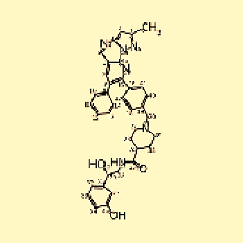 Cc1cc2ncc3cc(-c4ccccc4)c(-c4ccc(CN5CCC(C(=O)NC[C@H](O)c6cccc(O)c6)CC5)cc4)nc3n2n1